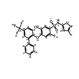 Cc1nsc(NS(=O)(=O)c2cc(Cl)c(Oc3ccc(C(F)(F)F)cc3-c3ccnnc3)cc2F)n1